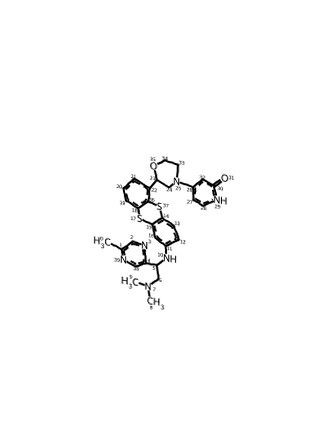 Cc1cnc(C(CN(C)C)Nc2ccc3c(c2)Sc2cccc(C4CN(c5cc[nH]c(=O)c5)CCO4)c2S3)cn1